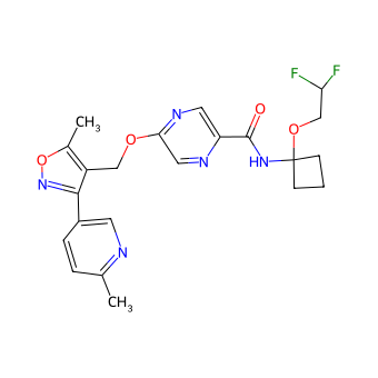 Cc1ccc(-c2noc(C)c2COc2cnc(C(=O)NC3(OCC(F)F)CCC3)cn2)cn1